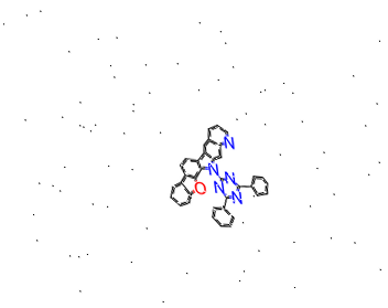 c1ccc(-c2nc(-c3ccccc3)nc(-n3c4cc5ncccc5cc4c4ccc5c6ccccc6oc5c43)n2)cc1